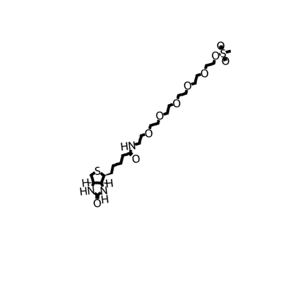 CS(=O)(=O)OCCOCCOCCOCCOCCOCCNC(=O)CCCC[C@@H]1SC[C@@H]2NC(=O)N[C@@H]21